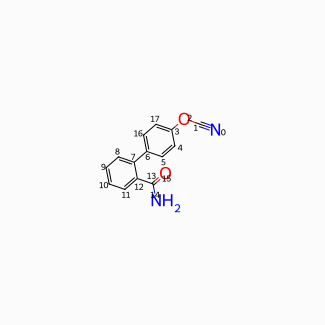 N#COc1ccc(-c2ccccc2C(N)=O)cc1